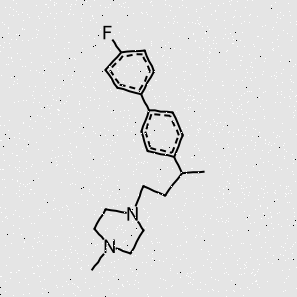 CC(CCN1CCN(C)CC1)c1ccc(-c2ccc(F)cc2)cc1